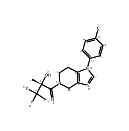 C[C@@](O)(C(=O)N1CCc2c(ncn2-c2ccc(Cl)cc2)C1)C(F)(F)F